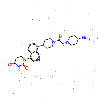 NC1CCN(CC(=O)N2CCC(c3cccc4c(N5CCC(=O)NC5=O)cncc34)CC2)CC1